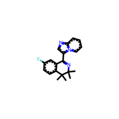 CC1(C)N=C(c2cnc3ccccn23)c2cc(F)ccc2C1(C)C